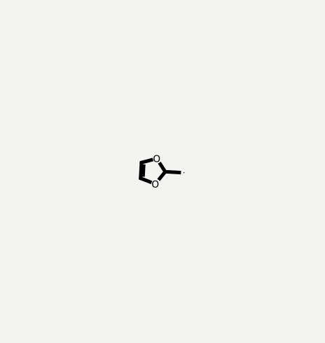 [CH2]C1OC=CO1